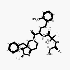 CN1N=C2CCN(C(=O)C(CCc3ccccc3C(=O)O)NC(=O)C(C)(C)NC(=O)OC(C)(C)C)CC2(Cc2ccccc2)C1=O